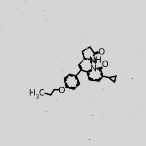 CCCOc1ccc(/C(=C/[C@H]2CCC(=O)N2)c2ccc(C3CC3)c(=O)[nH]2)cc1